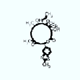 C=CC[C@H]1C(=O)C(C)(C)[C@@H](O)CC(=O)O[C@H](c2ccc3sc(C)nc3c2)CC2O[C@]2(C)CCC[C@H](C)[C@@H]1O